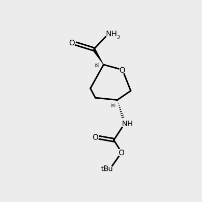 CC(C)(C)OC(=O)N[C@@H]1CC[C@@H](C(N)=O)OC1